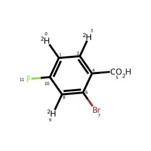 [2H]c1c([2H])c(C(=O)O)c(Br)c([2H])c1F